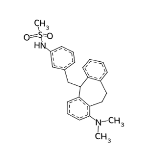 CN(C)c1cccc2c1CCc1ccccc1C2Cc1cccc(NS(C)(=O)=O)c1